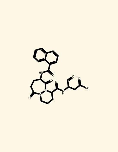 O=CC(CC(=O)O)NC(=O)C1CCCN2C(=O)CCC(NC(=O)c3cccc4ccccc34)C(=O)N12